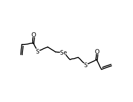 C=CC(=O)SCC[Se]CCSC(=O)C=C